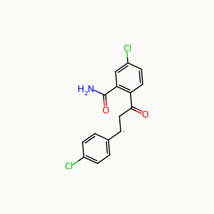 NC(=O)c1cc(Cl)ccc1C(=O)C[CH]c1ccc(Cl)cc1